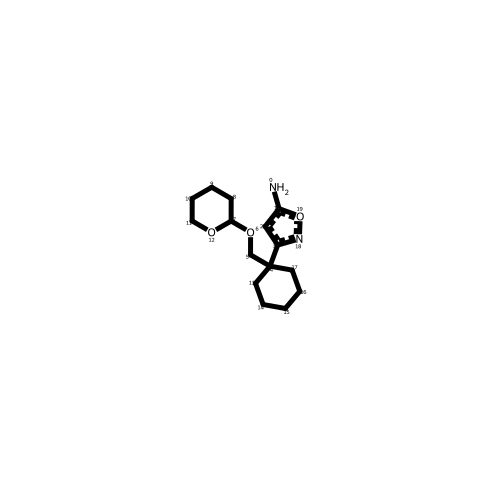 Nc1cc(C2(COC3CCCCO3)CCCCC2)no1